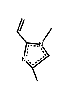 C=Cc1nc(C)cn1C